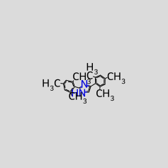 Cc1cc(C)c(-c2c[nH]c(-c3c(C)cc(C)cc3C)n2)c(C)c1